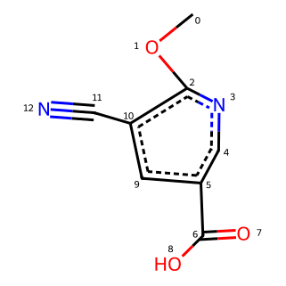 COc1ncc(C(=O)O)cc1C#N